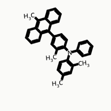 Cc1ccc(N(c2ccccc2)c2ccc(-c3c4ccccc4c(C)c4ccccc34)cc2C)c(C)c1